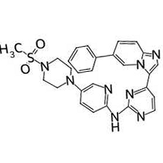 CS(=O)(=O)N1CCN(c2ccc(Nc3nccc(-c4cnc5ccc(-c6ccccc6)cn45)n3)nc2)CC1